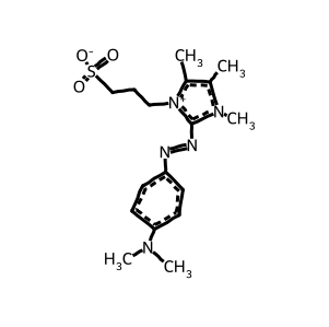 Cc1c(C)[n+](CCCS(=O)(=O)[O-])c(/N=N/c2ccc(N(C)C)cc2)n1C